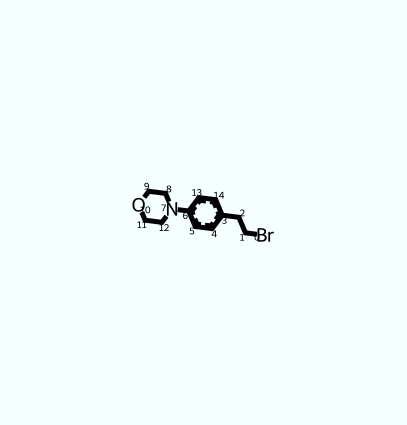 BrCCc1ccc(N2CCOCC2)cc1